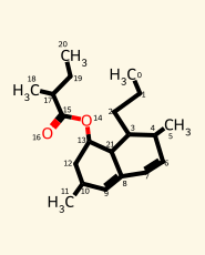 CCCC1C(C)C=CC2=CC(C)CC(OC(=O)C(C)CC)C21